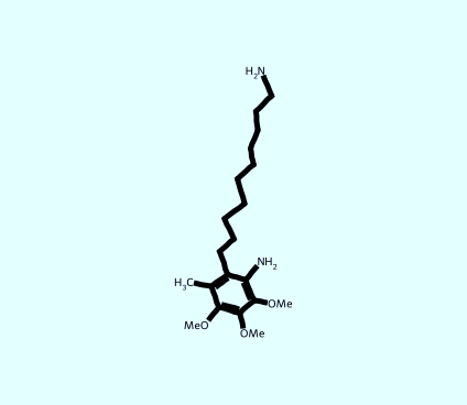 COc1c(C)c(CCCCCCCCCCN)c(N)c(OC)c1OC